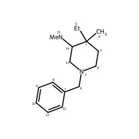 CCC1(C)CCN(Cc2ccccc2)CC1NC